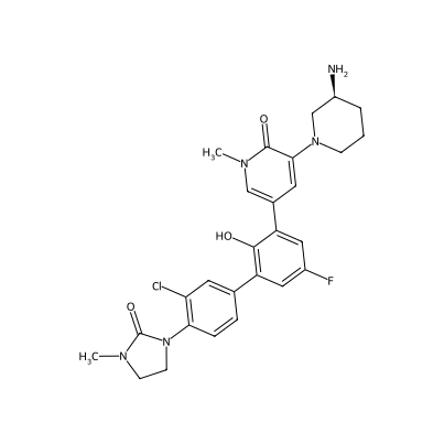 CN1CCN(c2ccc(-c3cc(F)cc(-c4cc(N5CCC[C@H](N)C5)c(=O)n(C)c4)c3O)cc2Cl)C1=O